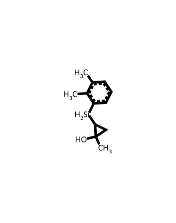 Cc1cccc([SiH2]C2CC2(C)O)c1C